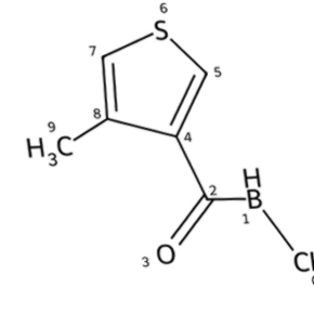 CBC(=O)c1cscc1C